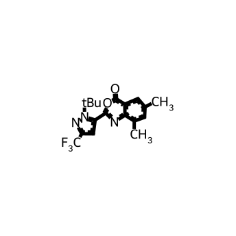 Cc1cc(C)c2nc(-c3cc(C(F)(F)F)nn3C(C)(C)C)oc(=O)c2c1